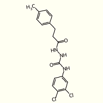 Cc1ccc(CCC(=O)NNC(=O)Nc2ccc(Cl)c(Cl)c2)cc1